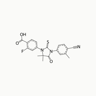 Cc1cc(N2C(=O)C(C)(C)N(c3ccc(C(=O)O)c(F)c3)C2=S)ccc1C#N